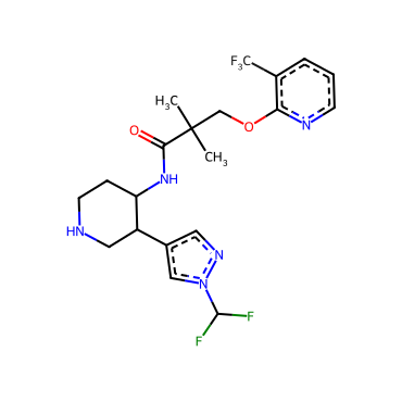 CC(C)(COc1ncccc1C(F)(F)F)C(=O)NC1CCNCC1c1cnn(C(F)F)c1